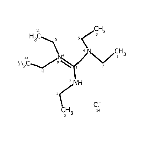 CCNC(N(CC)CC)=[N+](CC)CC.[Cl-]